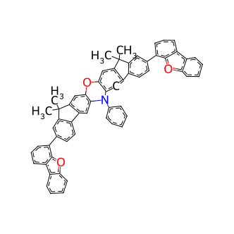 CC1(C)c2cc(-c3cccc4c3oc3ccccc34)ccc2-c2cc3c(cc21)Oc1cc2c(cc1N3c1ccccc1)-c1ccc(-c3cccc4c3oc3ccccc34)cc1C2(C)C